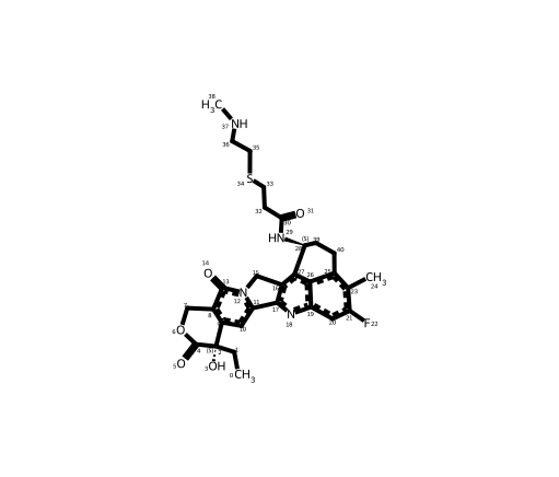 CC[C@@]1(O)C(=O)OCc2c1cc1n(c2=O)Cc2c-1nc1cc(F)c(C)c3c1c2[C@@H](NC(=O)CCSCCNC)CC3